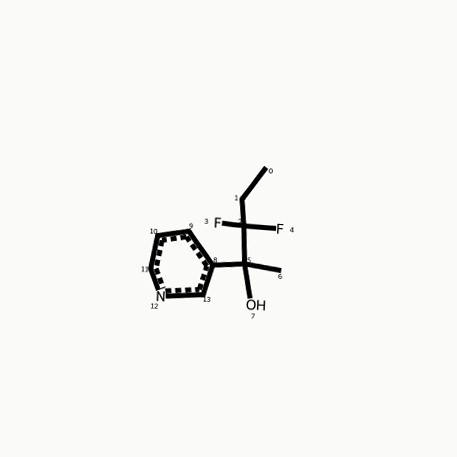 CCC(F)(F)C(C)(O)c1cccnc1